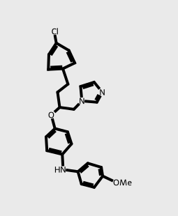 COc1ccc(Nc2ccc(OC(CCc3ccc(Cl)cc3)Cn3ccnc3)cc2)cc1